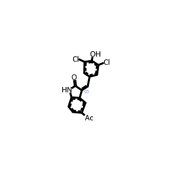 CC(=O)c1ccc2c(c1)/C(=C/c1cc(Cl)c(O)c(Cl)c1)C(=O)N2